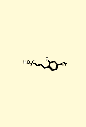 CC(C)C1=CC=C(CCCC(=O)O)C(F)C1